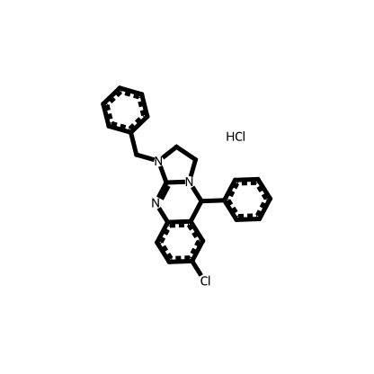 Cl.Clc1ccc2c(c1)C(c1ccccc1)N1CCN(Cc3ccccc3)C1=N2